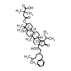 CC(C)C1=C2[C@H]3CC[C@@H]4[C@@]5(C)CC[C@H](OC(=O)CC(C)(C)C(=O)O)C(C)(C)[C@@H]5CC[C@@]4(C)[C@]3(C)CC[C@@]2([C@H](O)CN(CCN(C)C)Cc2ccccc2)CC1=O